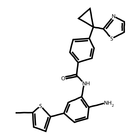 Cc1ccc(-c2ccc(N)c(NC(=O)c3ccc(C4(c5nccs5)CC4)cc3)c2)s1